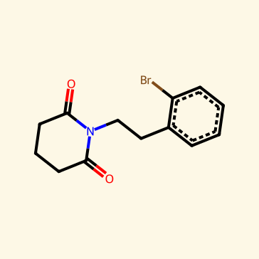 O=C1CCCC(=O)N1CCc1ccccc1Br